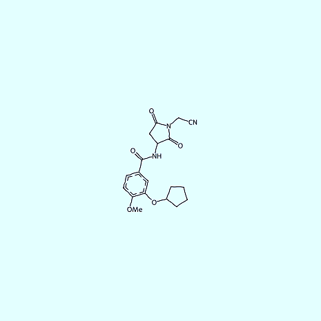 COc1ccc(C(=O)NC2CC(=O)N(CC#N)C2=O)cc1OC1CCCC1